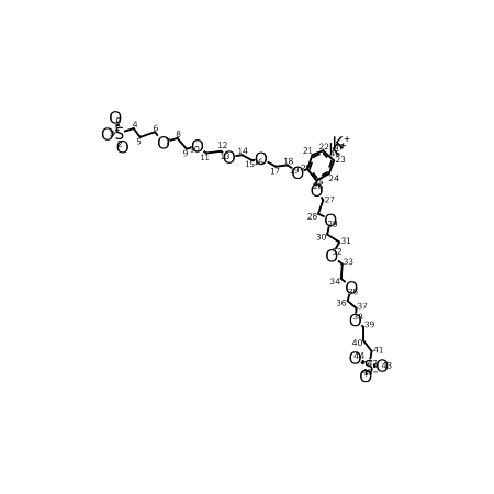 O=S(=O)([O-])CCCOCCOCCOCCOCCOc1ccccc1OCCOCCOCCOCCOCCCS(=O)(=O)[O-].[K+].[K+]